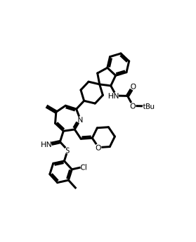 C=C1C=C(C(=N)Sc2cccc(C)c2Cl)C(/C=C2\CCCCO2)=NC(C2CCC3(CC2)Cc2ccccc2C3NC(=O)OC(C)(C)C)=C1